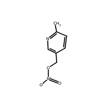 Cc1[c]cc(CO[N+](=O)[O-])cn1